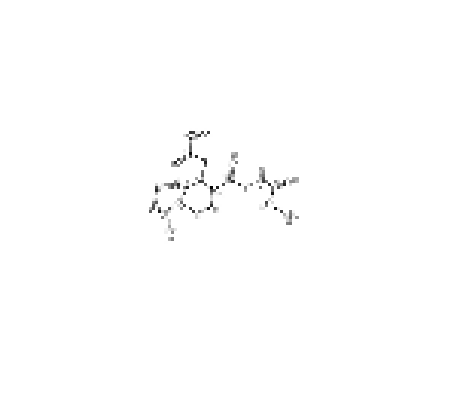 COC(=O)CC1c2cccc(Br)c2CCN1C(=O)CNC(=O)OC(C)(C)C